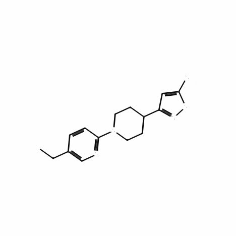 CCc1ccc(N2CCC(c3cc(N)[nH]n3)CC2)nc1